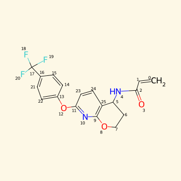 C=CC(=O)NC1CCOc2nc(Oc3ccc(C(F)(F)F)cc3)ccc21